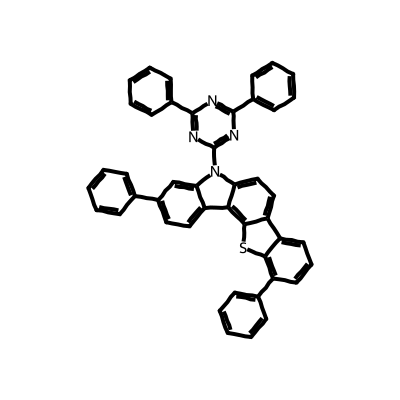 c1ccc(-c2ccc3c4c5sc6c(-c7ccccc7)cccc6c5ccc4n(-c4nc(-c5ccccc5)nc(-c5ccccc5)n4)c3c2)cc1